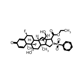 CCOC(=O)C1[C@@H]2C[C@H]3[C@@H]4C[C@H](F)C5=CC(=O)C=C[C@]5(C)[C@@]4(F)[C@@H](O)C[C@]3(C)[C@]2(C(=O)CO)CN1S(=O)(=O)c1ccccc1